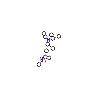 c1ccc(-c2ccc(N(c3ccc(-c4ccc(-c5cc6nc(-c7ccccc7)oc6c6ccccc56)cc4)c(-c4ccccc4)c3)c3ccc4ccccc4c3-c3ccccc3)cc2)cc1